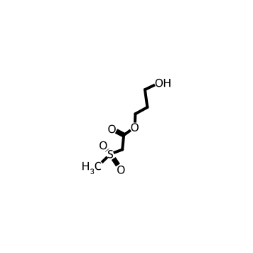 CS(=O)(=O)CC(=O)OCCCO